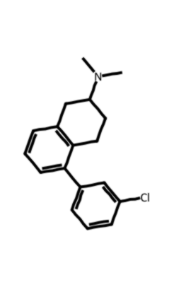 CN(C)C1CCc2c(cccc2-c2cccc(Cl)c2)C1